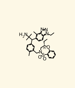 CC[C@@H]1CN(Cc2cc(C(c3ccc4c(nnn4CC)c3C)C(C)(C)N)ccc2C)S(=O)(=O)c2ccccc2O1